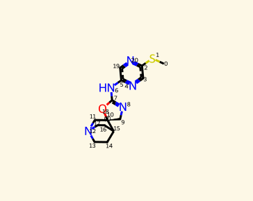 CSc1cnc(NC2=NC[C@@]3(CN4CCC3CC4)O2)cn1